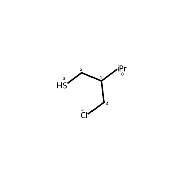 CC(C)C(CS)CCl